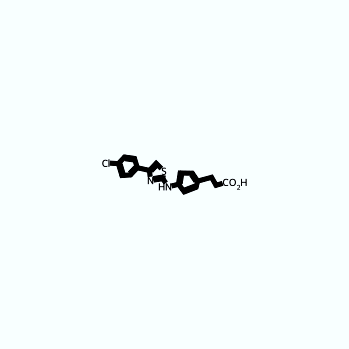 O=C(O)CCc1ccc(Nc2nc(-c3ccc(Cl)cc3)cs2)cc1